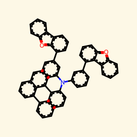 c1ccc(-c2cccc3cccc(-c4ccccc4N(c4cccc(-c5cccc6c5oc5ccccc56)c4)c4cccc(-c5cccc6oc7ccccc7c56)c4)c23)cc1